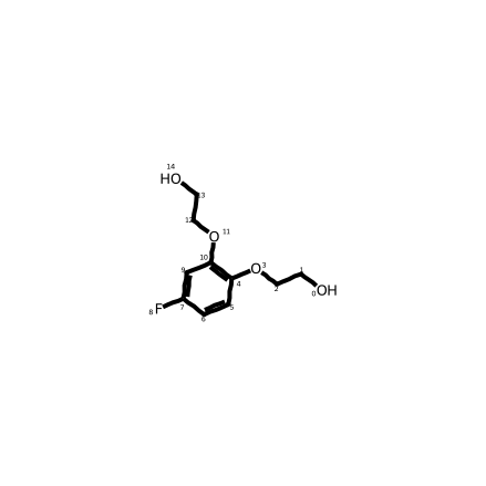 OCCOc1ccc(F)cc1OCCO